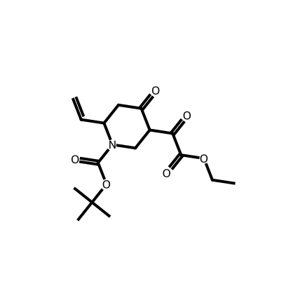 C=CC1CC(=O)C(C(=O)C(=O)OCC)CN1C(=O)OC(C)(C)C